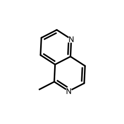 Cc1nccc2ncccc12